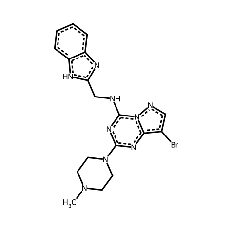 CN1CCN(c2nc(NCc3nc4ccccc4[nH]3)n3ncc(Br)c3n2)CC1